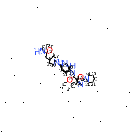 CCCNC(=O)CC1CCN(c2ccc(NC(=O)c3oc(N4CCCCC4)nc3C(F)(F)F)cn2)CC1